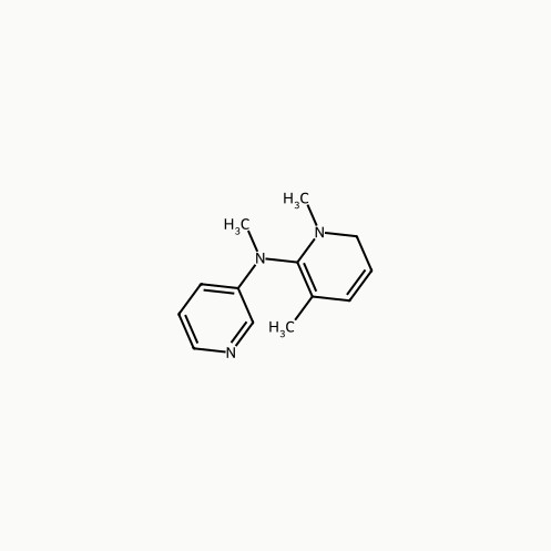 CC1=C(N(C)c2cccnc2)N(C)CC=C1